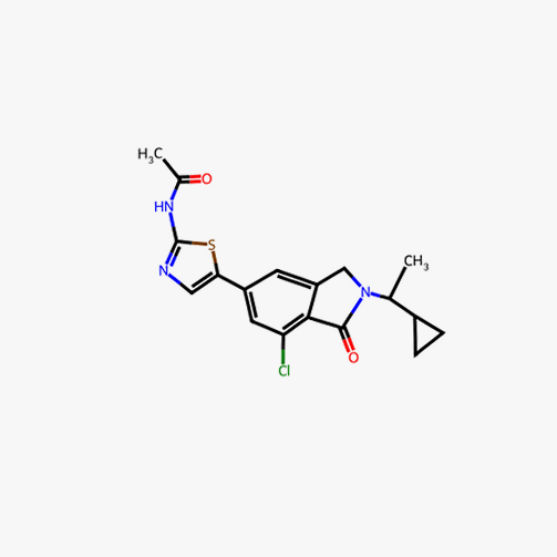 CC(=O)Nc1ncc(-c2cc(Cl)c3c(c2)CN(C(C)C2CC2)C3=O)s1